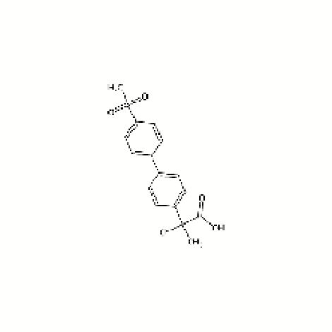 CC(Cl)(C(=O)O)c1ccc(-c2ccc(S(C)(=O)=O)cc2)cc1